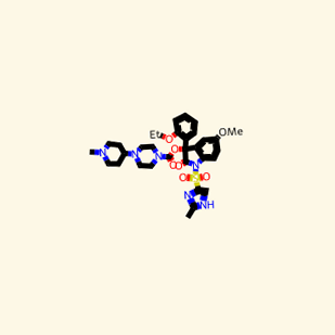 CCOc1ccccc1C1(OC(=O)N2CCN(C3CCN(C)CC3)CC2)C(=O)N(S(=O)(=O)c2c[nH]c(C)n2)c2ccc(OC)cc21